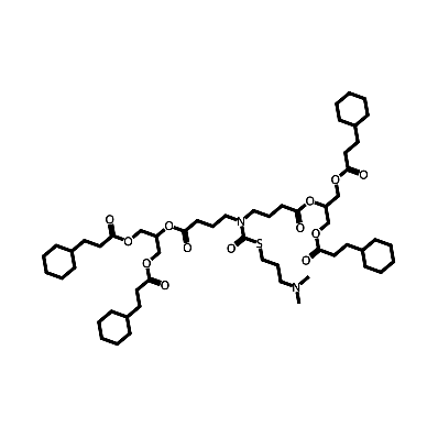 CN(C)CCCSC(=O)N(CCCC(=O)OC(COC(=O)CCC1CCCCC1)COC(=O)CCC1CCCCC1)CCCC(=O)OC(COC(=O)CCC1CCCCC1)COC(=O)CCC1CCCCC1